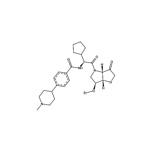 CCO[C@H]1CN(C(=O)[C@@H](NC(=O)c2ccc(C3CCN(C)CC3)cc2)C2CCCC2)[C@@H]2C(=O)CO[C@H]12